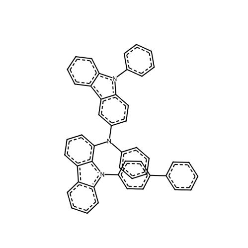 c1ccc(-c2ccc(-n3c4ccccc4c4cccc(N(c5ccccc5)c5ccc6c(c5)c5ccccc5n6-c5ccccc5)c43)cc2)cc1